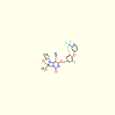 C[C@H]1CN2c3c(C#N)c(OCc4cc(F)c(Oc5ccnc(C(F)(F)F)c5)c(F)c4)nc(=O)n3C[C@]2(C)CO1